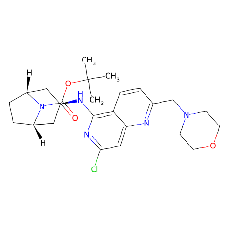 CC(C)(C)OC(=O)N1[C@@H]2CC[C@H]1C[C@H](Nc1nc(Cl)cc3nc(CN4CCOCC4)ccc13)C2